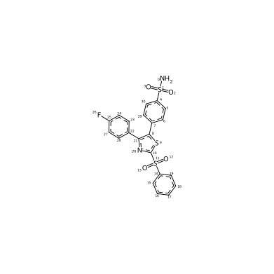 NS(=O)(=O)c1ccc(-c2sc(S(=O)(=O)c3ccccc3)nc2-c2ccc(F)cc2)cc1